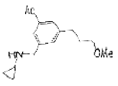 COCCCc1cc(CNC2CC2)cc(C(C)=O)c1